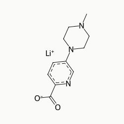 CN1CCN(c2ccc(C(=O)[O-])nc2)CC1.[Li+]